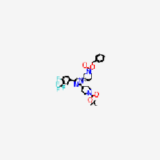 CC(C)(C)OC(=O)N1CCC(c2nc(-c3ccc(F)c(C(F)(F)F)c3)cn2[C@@H]2CCCN(C(=O)OCc3ccccc3)C2)CC1